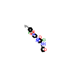 CC(C)c1ccc(S(=O)(=O)N2CCC(n3ncc(NC[C@@H]4CCCOC4)c(Cl)c3=O)CC2)c(F)c1